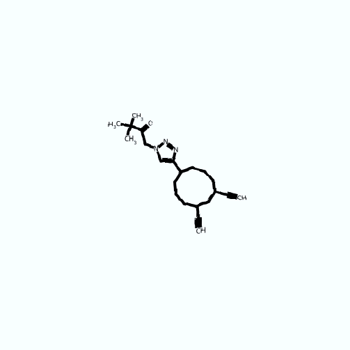 C#CC1CCCC(c2cn(CC(=O)C(C)(C)C)nn2)CCCC(C#C)C1